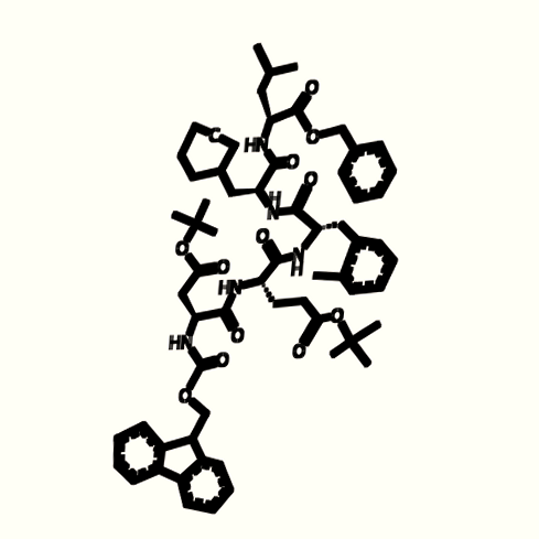 Cc1ccccc1C[C@H](NC(=O)[C@H](CCC(=O)OC(C)(C)C)NC(=O)[C@H](CC(=O)OC(C)(C)C)NC(=O)OCC1c2ccccc2-c2ccccc21)C(=O)N[C@@H](CC1CCCCC1)C(=O)N[C@@H](CC(C)C)C(=O)OCc1ccccc1